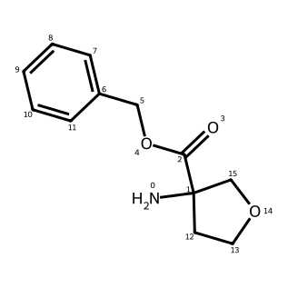 NC1(C(=O)OCc2ccccc2)CCOC1